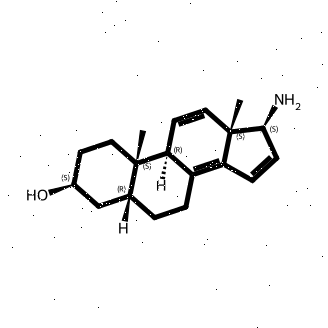 C[C@]12CC[C@H](O)C[C@H]1CCC1=C3C=C[C@H](N)[C@@]3(C)C=C[C@@H]12